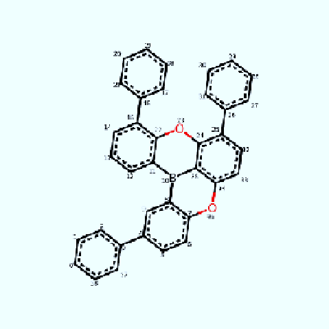 c1ccc(-c2ccc3c(c2)B2c4cccc(-c5ccccc5)c4Oc4c(-c5ccccc5)ccc(c42)O3)cc1